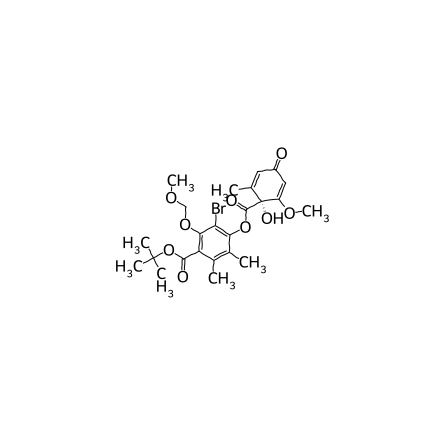 COCOc1c(Br)c(OC(=O)[C@@]2(O)C(C)=CC(=O)C=C2OC)c(C)c(C)c1C(=O)OC(C)(C)C